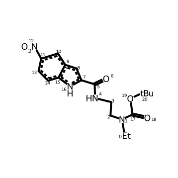 CCN(CCNC(=O)c1cc2cc([N+](=O)[O-])ccc2[nH]1)C(=O)OC(C)(C)C